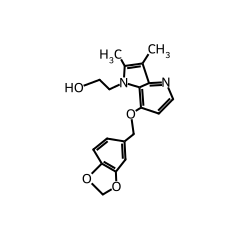 Cc1c(C)n(CCO)c2c(OCc3ccc4c(c3)OCO4)ccnc12